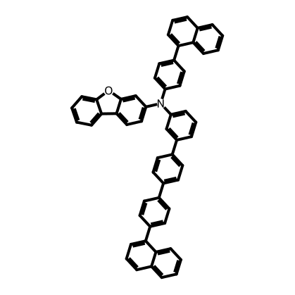 c1cc(-c2ccc(-c3ccc(-c4cccc5ccccc45)cc3)cc2)cc(N(c2ccc(-c3cccc4ccccc34)cc2)c2ccc3c(c2)oc2ccccc23)c1